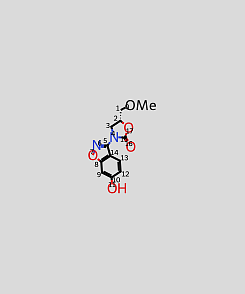 COC[C@H]1CN(c2noc3cc(O)ccc23)C(=O)O1